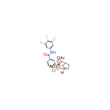 CC(=O)OC[C@]1(OC(C)=O)CC2CC[C@@H](C1)C2S(=O)(=O)c1cc(C(=O)Nc2cc(F)c(F)c(F)c2)ccc1Cl